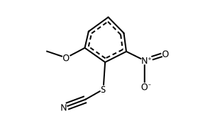 COc1cccc([N+](=O)[O-])c1SC#N